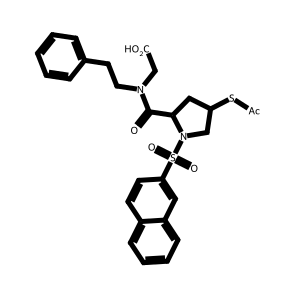 CC(=O)SC1CC(C(=O)N(CCc2ccccc2)CC(=O)O)N(S(=O)(=O)c2ccc3ccccc3c2)C1